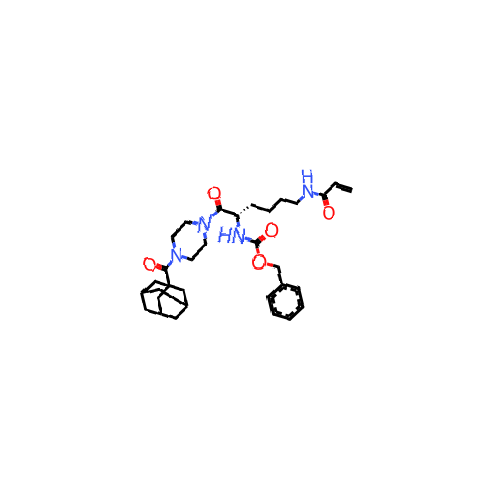 C=CC(=O)NCCCC[C@H](NC(=O)OCc1ccccc1)C(=O)N1CCN(C(=O)C23CC4CC(CC(C4)C2)C3)CC1